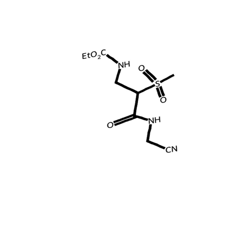 CCOC(=O)NCC(C(=O)NCC#N)S(C)(=O)=O